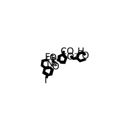 CC[C@H]1CCc2cc(I)ccc2N1S(=O)(=O)c1ccc(OCC2CCOCC2)c(C(=O)O)c1